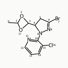 CC1OC(C2CC(Br)=NN2c2ncccc2Cl)O1